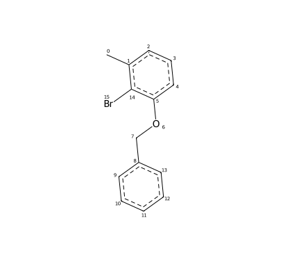 Cc1[c]ccc(OCc2ccccc2)c1Br